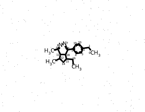 CCc1ccc(C2=NN=C(C)C3C(C)CC(CC)C23)cc1